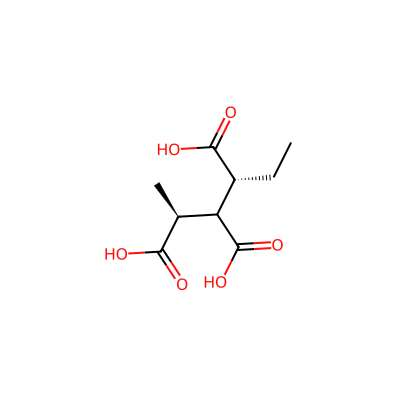 CC[C@@H](C(=O)O)C(C(=O)O)[C@H](C)C(=O)O